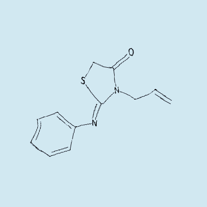 C=CCN1C(=O)CS/C1=N\c1ccccc1